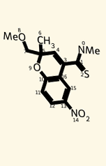 CNC(=S)C1=CC(C)(COC)Oc2ccc([N+](=O)[O-])cc21